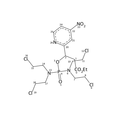 CCOC(=O)CC(OP(=O)(N(CCCl)CCCl)N(CCCl)CCCl)c1cc([N+](=O)[O-])ccn1